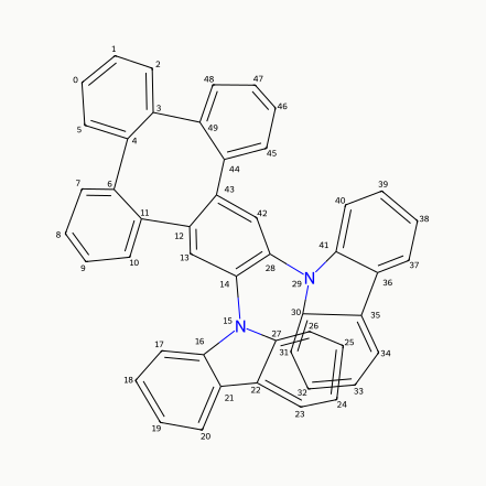 c1ccc2c(c1)-c1ccccc1-c1cc(-n3c4ccccc4c4ccccc43)c(-n3c4ccccc4c4ccccc43)cc1-c1ccccc1-2